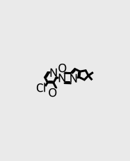 CC1(C)Cc2cc3c(=O)n(-c4nccc(Cl)c4C=O)ccn3c2C1